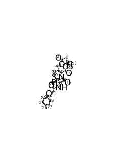 CC(=O)OCC1=C(C(=O)O[Si](C)(C)C)N2C(=O)C(NC(=O)COc3ccccc3)[C@H]2SC1